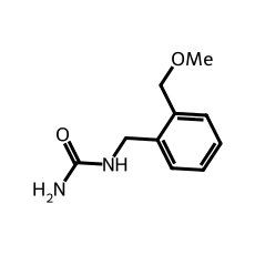 COCc1ccccc1CNC(N)=O